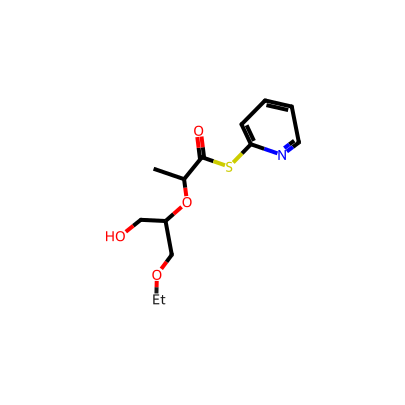 CCOCC(CO)OC(C)C(=O)Sc1ccccn1